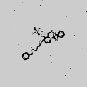 Cc1c(OCCCOCc2ccccc2)cc[n+]2c1CSn1c-2nc2ccccc21.F[B-](F)(F)F